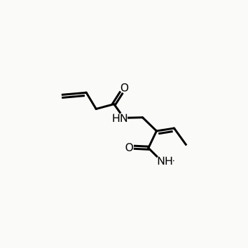 C=CCC(=O)NCC(=CC)C([NH])=O